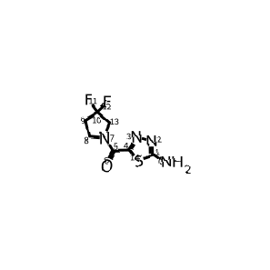 Nc1nnc(C(=O)N2CCC(F)(F)C2)s1